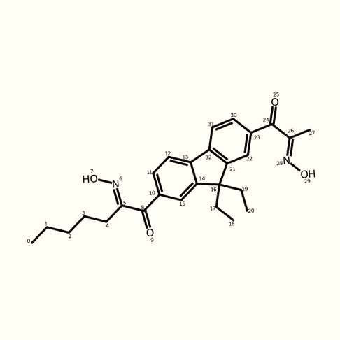 CCCCCC(=NO)C(=O)c1ccc2c(c1)C(CC)(CC)c1cc(C(=O)C(C)=NO)ccc1-2